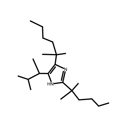 CCCCC(C)(C)c1nc(C(C)(C)CCCC)c(C(C)C(C)C)[nH]1